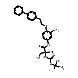 Cc1cc(NC(=O)C(C)(CO)NC(=O)OC(C)(C)C)ccc1OCCc1ccc(-c2ccccc2)cc1